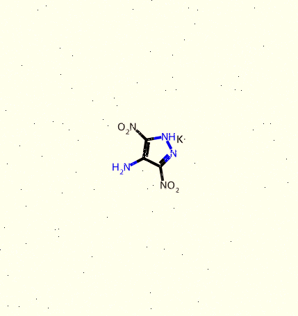 Nc1c([N+](=O)[O-])n[nH]c1[N+](=O)[O-].[K]